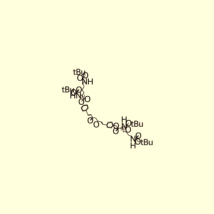 CC(C)(C)OC(=O)NCCCC[C@H](NC(=O)OC(C)(C)C)C(=O)Oc1ccc(C=CC(=O)CC(=O)C=Cc2ccc(OC(=O)[C@H](CCCCNC(=O)OC(C)(C)C)NC(=O)OC(C)(C)C)cc2)cc1